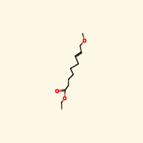 CCOC(=O)CCCCC/C=C/COC